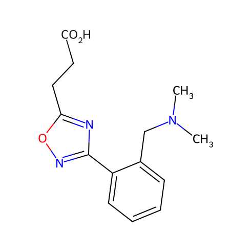 CN(C)Cc1ccccc1-c1noc(CCC(=O)O)n1